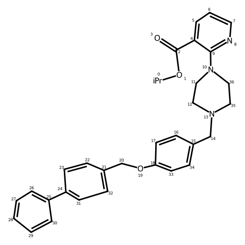 CC(C)OC(=O)c1cccnc1N1CCN(Cc2ccc(OCc3ccc(-c4ccccc4)cc3)cc2)CC1